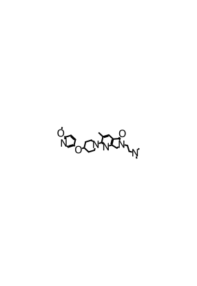 COc1ccc(OC2CCN(c3nc4c(cc3C)C(=O)N(CCN(C)C)C4)CC2)cn1